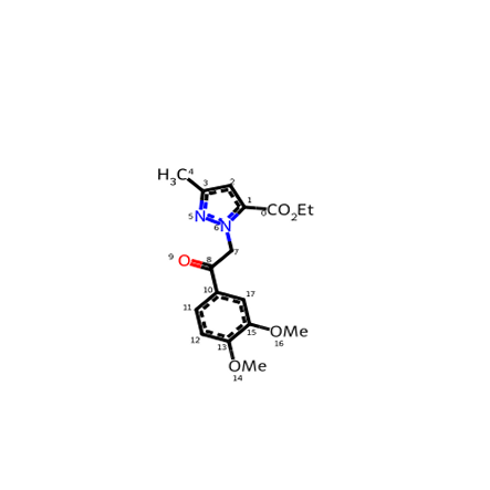 CCOC(=O)c1cc(C)nn1CC(=O)c1ccc(OC)c(OC)c1